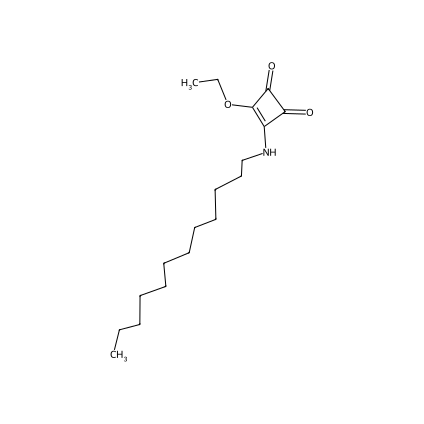 CCCCCCCCCCCCNc1c(OCC)c(=O)c1=O